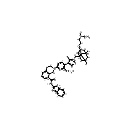 Cc1c(-c2ccc(N3CCc4cccc(C(=O)Nc5nc6ccccc6s5)c4C3)nc2C(=O)O)cnn1CC12CC3(C)CC(C)(C1)CC(OCCN(C)N)(C3)C2